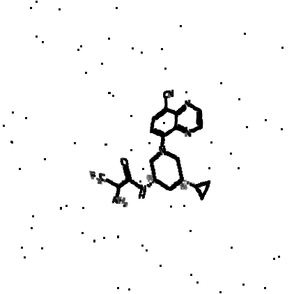 N#Cc1ccc(N2C[C@@H](NC(=O)C(N)C(F)(F)F)C[C@@H](C3CC3)C2)c2nccnc12